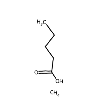 C.CCCCC(=O)O